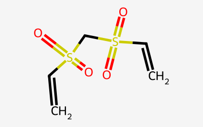 C=CS(=O)(=O)CS(=O)(=O)C=C